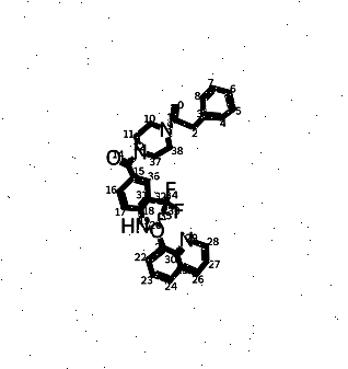 C=C(Cc1ccccc1)N1CCN(C(=O)c2ccc(NOc3cccc4cccnc34)c(C(F)(F)F)c2)CC1